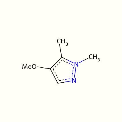 COc1cnn(C)c1C